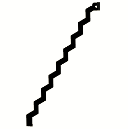 [CH]=CCCCCCCCCCCCCCCCCCl